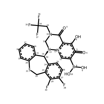 O=C1c2c(O)c(=O)c(B(O)O)cn2N([C@@H]2c3ccccc3SCc3c2ccc(F)c3F)CN1CC(F)(F)F